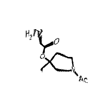 CC(=O)N1CCC(C)(OC(N)=O)C1